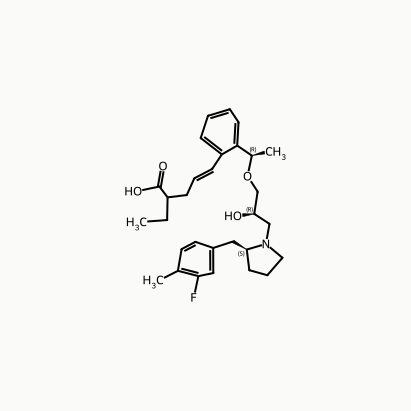 CCC(CC=Cc1ccccc1[C@@H](C)OC[C@H](O)CN1CCC[C@H]1Cc1ccc(C)c(F)c1)C(=O)O